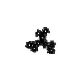 C1=CC(n2c3ccccc3c3cc(N(c4ccc(-c5cc6ccccc6c6ccccc56)cc4)c4ccc(-c5cc6ccccc6c6ccccc56)cc4)ccc32)=CCC1